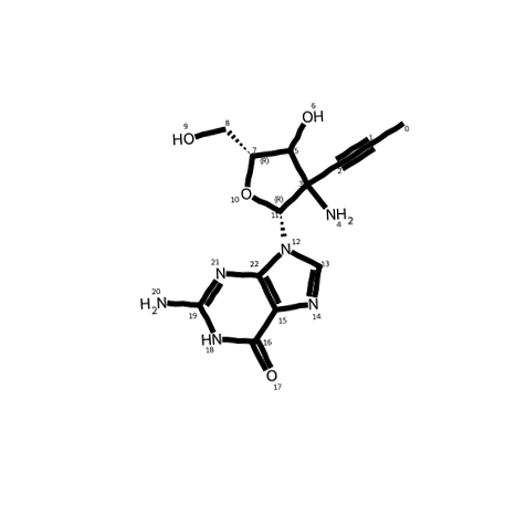 CC#CC1(N)C(O)[C@@H](CO)O[C@H]1n1cnc2c(=O)[nH]c(N)nc21